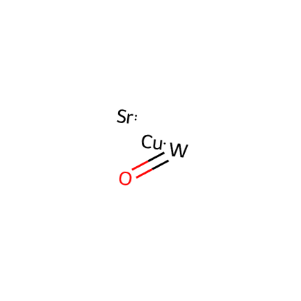 [Cu].[O]=[W].[Sr]